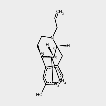 C=CCN1CC[C@]23COC(C)(C)C[C@H]2[C@H]1Cc1ccc(O)cc13